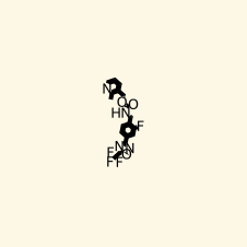 Cc1ncccc1COC(=O)NCc1ccc(-c2noc(C(F)(F)F)n2)cc1F